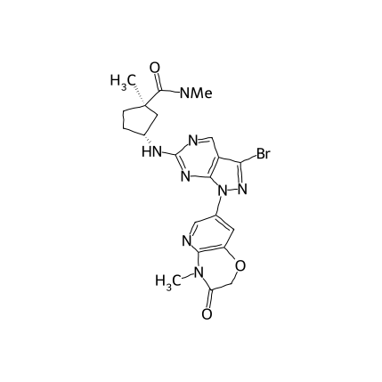 CNC(=O)[C@]1(C)CC[C@@H](Nc2ncc3c(Br)nn(-c4cnc5c(c4)OCC(=O)N5C)c3n2)C1